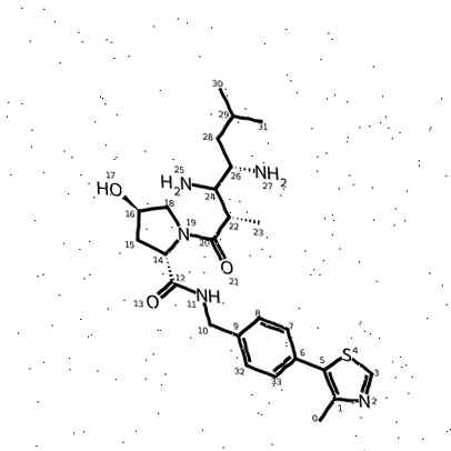 Cc1ncsc1-c1ccc(CNC(=O)[C@@H]2C[C@@H](O)CN2C(=O)[C@@H](C)C(N)[C@@H](N)CC(C)C)cc1